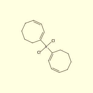 [Cl][Ir]([Cl])([C]1=CC=CCCCC1)[C]1=CC=CCCCC1